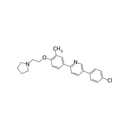 Cc1cc(-c2ccc(-c3ccc(Cl)cc3)cn2)ccc1OCCN1CCCC1